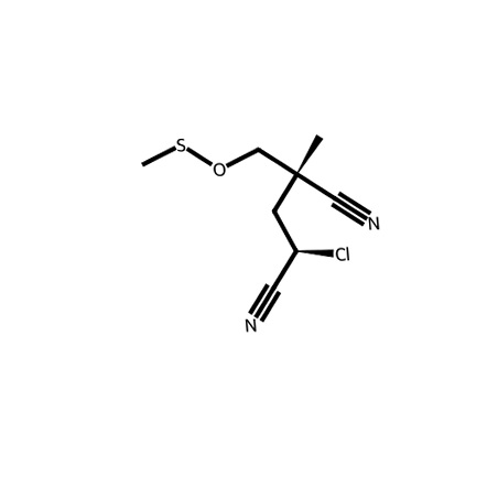 CSOC[C@](C)(C#N)C[C@@H](Cl)C#N